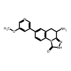 COc1cncc(-c2ccc3c(c2)CC(N)c2n[nH]c(=O)n2-3)c1